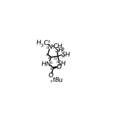 CN(C)CC(NC(=O)OC(C)(C)C)C(S)(S)S